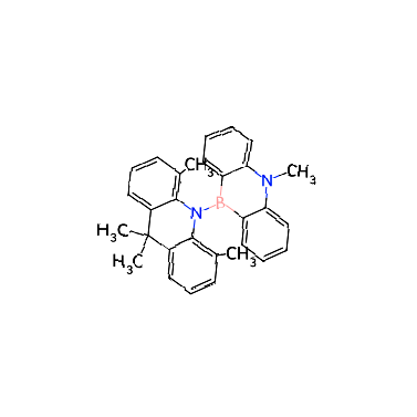 Cc1cccc2c1N(B1c3ccccc3N(C)c3ccccc31)c1c(C)cccc1C2(C)C